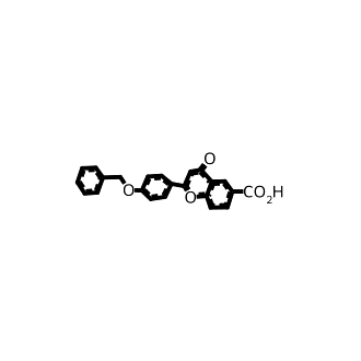 O=C(O)c1ccc2oc(-c3ccc(OCc4ccccc4)cc3)cc(=O)c2c1